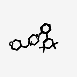 CC1(C)C=C(c2ccccc2N2CCN(CC3CCOCC3)CC2)CC(C)(C)C1